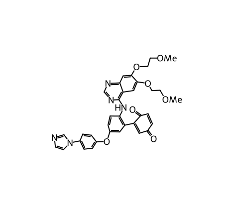 COCCOc1cc2ncnc(Nc3ccc(Oc4ccc(-n5ccnc5)cc4)cc3C3=CC(=O)C=CC3=O)c2cc1OCCOC